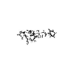 O=C(O)C(CCc1ccccc1)Nc1ccc(C(=O)N2CCC[C@H]2C(=O)O)cc1